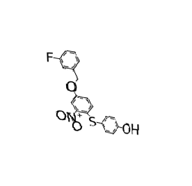 O=[N+]([O-])c1cc(OCc2cccc(F)c2)ccc1Sc1ccc(O)cc1